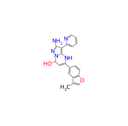 Cc1coc2ccc(C3=CC(O)n4nc(N)c(-c5ccccn5)c4N3)cc12